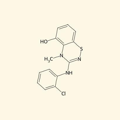 CN1C(Nc2ccccc2Cl)=NSc2cccc(O)c21